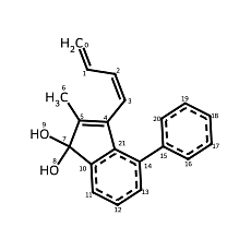 C=C/C=C\C1=C(C)C(O)(O)c2cccc(-c3ccccc3)c21